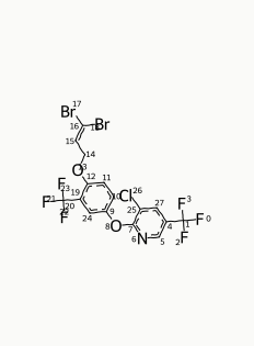 FC(F)(F)c1cnc(Oc2ccc(OCC=C(Br)Br)c(C(F)(F)F)c2)c(Cl)c1